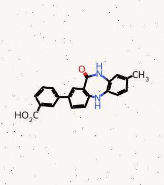 Cc1ccc2c(c1)NC(=O)c1cc(-c3cccc(C(=O)O)c3)ccc1N2